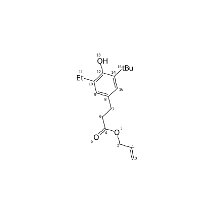 C=CCOC(=O)CCc1cc(CC)c(O)c(C(C)(C)C)c1